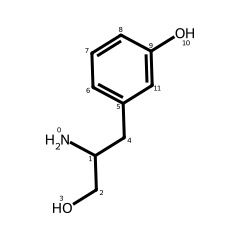 NC(CO)Cc1cccc(O)c1